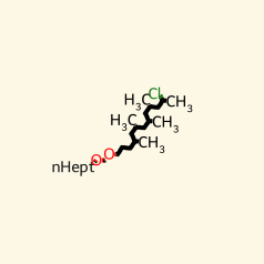 CCCCCCCOCOCCCC(C)CC(C)CC(C)CC(C)CC(C)Cl